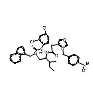 CCC(C)C(CN(Cc1cccc2ccccc12)C(=S)Nc1ccc(Cl)cc1Cl)NC(=O)Cc1cncn1Cc1ccc([N+](=O)[O-])cc1